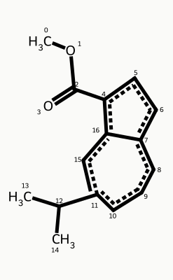 COC(=O)c1ccc2cccc(C(C)C)cc1-2